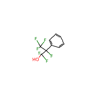 OC(F)(F)C(F)(c1ccccc1)C(F)(F)F